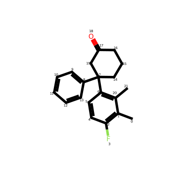 Cc1c(F)ccc(C2(c3ccccc3)CCCC(=O)C2)c1C